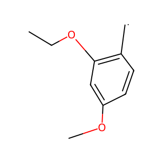 [CH2]c1ccc(OC)cc1OCC